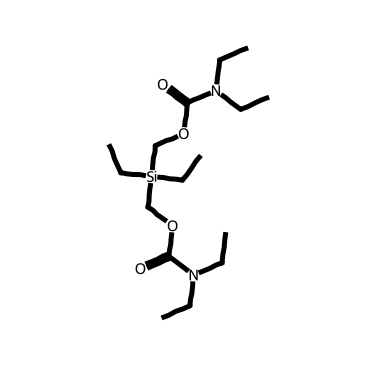 CCN(CC)C(=O)OC[Si](CC)(CC)COC(=O)N(CC)CC